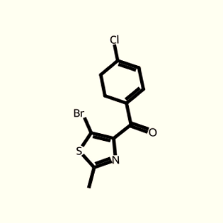 Cc1nc(C(=O)C2=CC=C(Cl)CC2)c(Br)s1